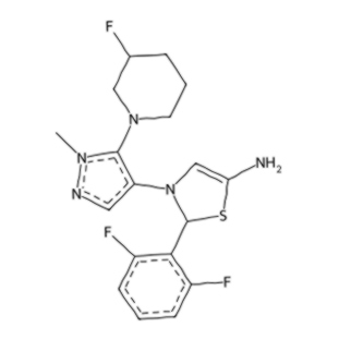 Cn1ncc(N2C=C(N)SC2c2c(F)cccc2F)c1N1CCCC(F)C1